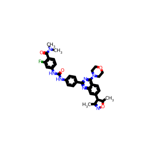 CC1=NOC(C)C1c1ccc2c(N3CCOCC3)nc(-c3ccc(NC(=O)Nc4ccc(C(=O)N(C)C)c(F)c4)cc3)nc2c1